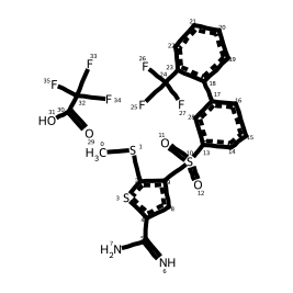 CSc1sc(C(=N)N)cc1S(=O)(=O)c1cccc(-c2ccccc2C(F)(F)F)c1.O=C(O)C(F)(F)F